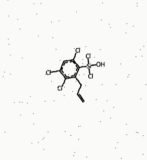 C=CCc1c(Cl)c(Cl)cc(Cl)c1[Si](O)(Cl)Cl